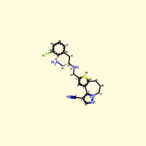 N#Cc1cnn2c1-c1cc(CN[C@H](CN)Cc3cccc(F)c3)sc1CCC2